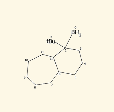 BC1(C(C)(C)C)CCCC2CCCCCC21